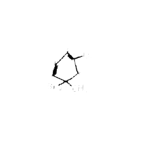 CC1(Br)C=CC=C(Cl)C1